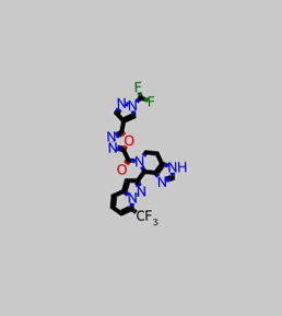 O=C(c1nnc(-c2cnn(C(F)F)c2)o1)N1CCc2[nH]cnc2C1c1cc2cccc(C(F)(F)F)n2n1